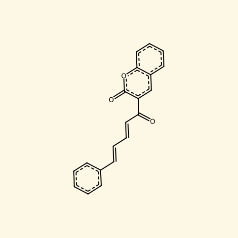 O=C(C=CC=Cc1ccccc1)c1cc2ccccc2oc1=O